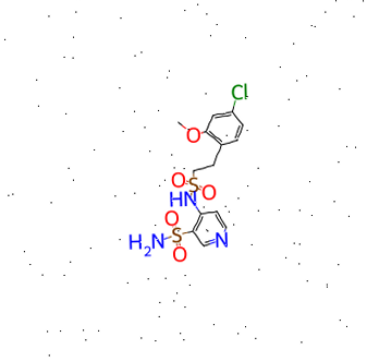 COc1cc(Cl)ccc1CCS(=O)(=O)Nc1ccncc1S(N)(=O)=O